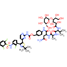 CC(NC(=O)C(NC(=O)[C@H](O)[C@H](O)[C@@H](O[C@@H]1O[C@H](CO)[C@H](O)[C@H](O)[C@H]1O)[C@H](O)CO)C(C)C)C(=O)NC(CC(N)=O)C(=O)Nc1ccc(COC(=O)Nc2nccc(-c3sc(C(C)(C)C)nc3-c3cccc(NS(=O)(=O)c4c(F)cccc4F)c3F)n2)cc1